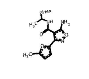 CCCCCCC(C)NC(=O)c1c(-c2ccc(C)o2)noc1N